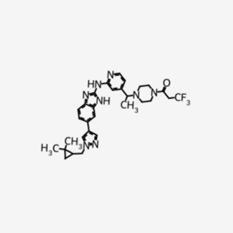 CC(c1ccnc(Nc2nc3ccc(-c4cnn(CC5CC5(C)C)c4)cc3[nH]2)c1)N1CCN(C(=O)CC(F)(F)F)CC1